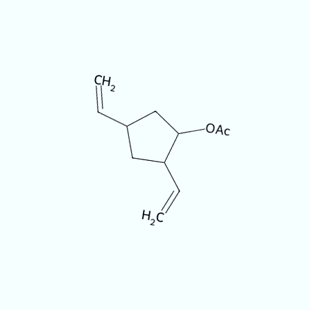 C=CC1CC(C=C)C(OC(C)=O)C1